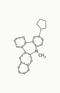 CN1c2ccc(C3CCCC3)cc2-c2ccccc2-c2cc3ccccc3cc21